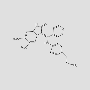 COc1cc2c(cc1OC)C(=C(Nc1ccc(CCN)cc1)c1ccccc1)C(=O)N2